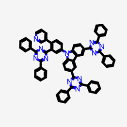 c1ccc(-c2nc(-c3ccccc3)nc(-c3ccc4c(c3)c3cc(-c5nc(-c6ccccc6)nc(-c6ccccc6)n5)ccc3n4-c3ccc(-c4cccnc4)c(-c4nc(-c5ccccc5)nc(-c5ccccc5)n4)c3)n2)cc1